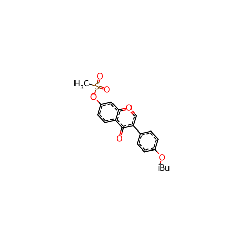 CCC(C)Oc1ccc(-c2coc3cc(OS(C)(=O)=O)ccc3c2=O)cc1